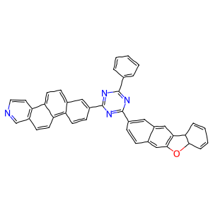 C1=CC2Oc3cc4ccc(-c5nc(-c6ccccc6)nc(-c6ccc7c(ccc8c9ccncc9ccc78)c6)n5)cc4cc3C2C=C1